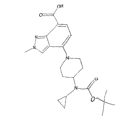 Cn1cc2c(N3CCC(N(C(=O)OC(C)(C)C)C4CC4)CC3)ccc(C(=O)O)c2n1